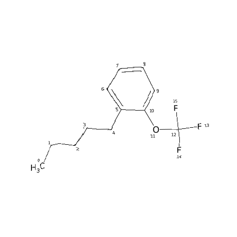 CCC[CH]Cc1ccccc1OC(F)(F)F